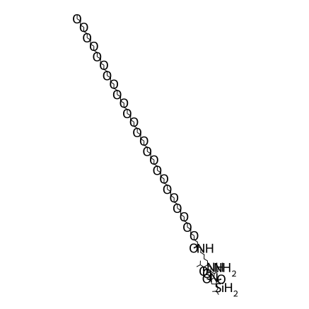 COCCOCCOCCOCCOCCOCCOCCOCCOCCOCCOCCOCCOCCOCCOCCOCCOCCOCCOCCOCCOCCOCCOCCOCCC(=O)NCCCCC(NC(=O)C(CN)N1C(=O)CC([SiH2]C(C)C)C1=O)C(=O)C(C)C